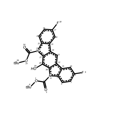 CC(C)(C)OC(=O)n1c2ccc(F)cc2c2cc3c4cc(F)ccc4n(C(=O)OC(C)(C)C)c3c(O)c21